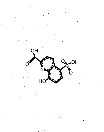 O=C(O)c1ccc2c(S(=O)(=O)O)ccc(O)c2n1